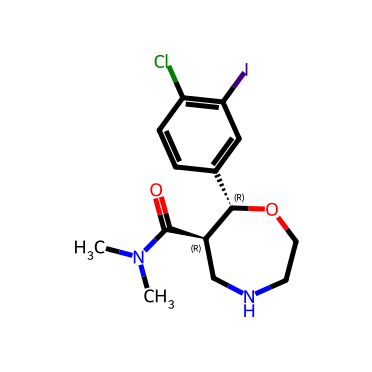 CN(C)C(=O)[C@@H]1CNCCO[C@H]1c1ccc(Cl)c(I)c1